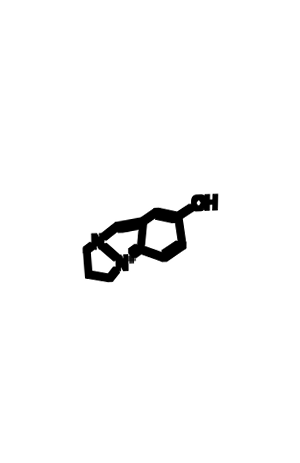 Oc1ccc2c(c1)cn1[n+]2CCC1